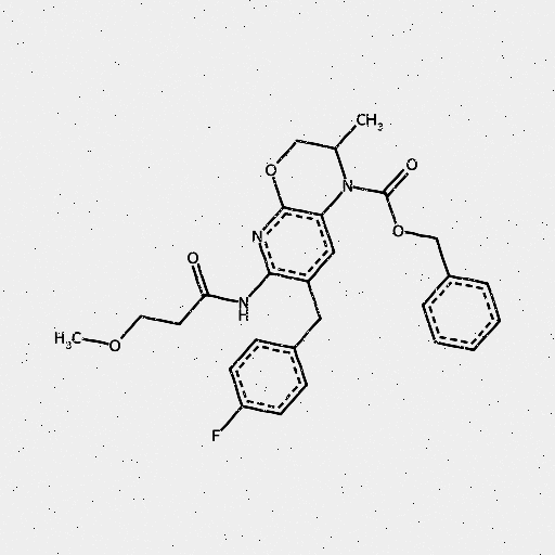 COCCC(=O)Nc1nc2c(cc1Cc1ccc(F)cc1)N(C(=O)OCc1ccccc1)C(C)CO2